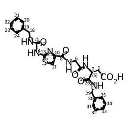 O=C(O)C[C@H](NC(=O)CNC(=O)c1csc(NC(=O)NCc2ccccc2)n1)C(=O)NCc1ccccc1